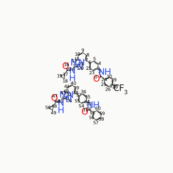 O=C(Nc1ccc(-c2cccc3nc(NC(=O)C4CC4)nn23)cc1)c1ccc(C(F)(F)F)cc1.O=C(Nc1ccc(-c2cccc3nc(NC(=O)C4CC4)nn23)cc1)c1ccccc1